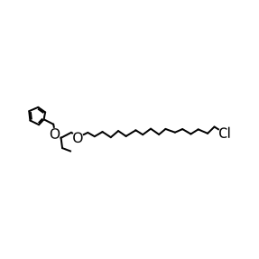 CCC(COCCCCCCCCCCCCCCCCCCl)OCc1ccccc1